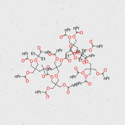 CCCC(=O)OCC(COCC(COC(=O)CCC)(COC(=O)CC(=O)OCC(COCC(COC(=O)CCC)(COC(=O)CCC)COC(=O)CCC)(COC(=O)CCC)COC(CC)(CC)CC(COC(=O)CCC)(COC(=O)CCC)COC(CC)(CC)C(=O)CCC)COC(C)(C)CC(COC(=O)CCC)(COC(=O)CCC)COC(CC)(CC)C(=O)CCC)(COC(=O)CCC)COC(=O)CCC